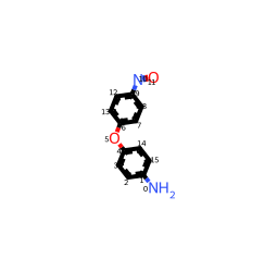 Nc1ccc(Oc2ccc(N=O)cc2)cc1